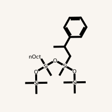 CCCCCCCC[Si](C)(O[Si](C)(C)C)O[Si](C)(CC(C)c1ccccc1)O[Si](C)(C)C